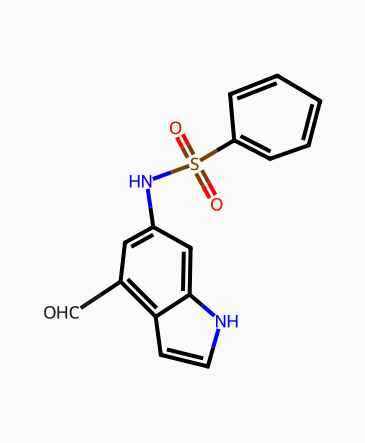 O=Cc1cc(NS(=O)(=O)c2ccccc2)cc2[nH]ccc12